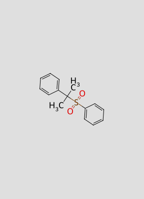 CC(C)(c1ccccc1)S(=O)(=O)c1ccccc1